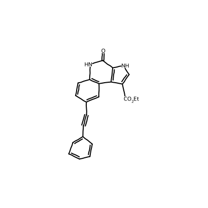 CCOC(=O)c1c[nH]c2c(=O)[nH]c3ccc(C#Cc4ccccc4)cc3c12